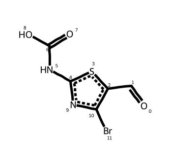 O=Cc1sc(NC(=O)O)nc1Br